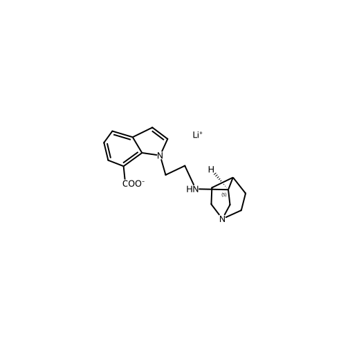 O=C([O-])c1cccc2ccn(CCN[C@@H]3CN4CCC3CC4)c12.[Li+]